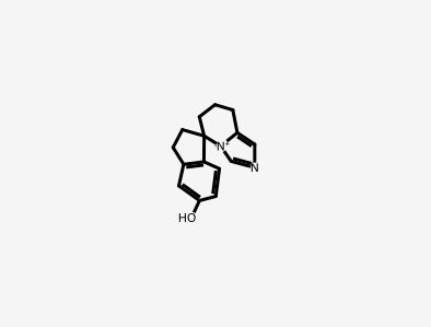 Oc1ccc2c(c1)CCC21CCCC2=CN=C[N+]21